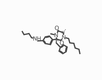 CCCCCCN1C(=O)[C@](Cc2ccccc2)(c2ccc(CNCCCC)cc2)N(C)C(=O)[C@@H]1C